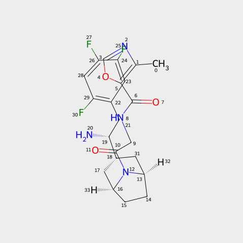 Cc1ncoc1C(=O)NCC(=O)N1[C@@H]2CC[C@H]1C[C@H]([C@H](N)Cc1cc(F)c(F)cc1F)C2